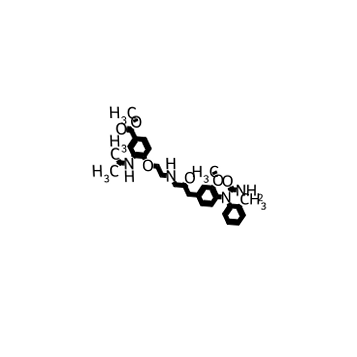 COC(=O)c1ccc(OCCNCC(=O)Cc2ccc(N(C(N)=O)c3ccccc3C)c(OC)c2)c(NC(C)C)c1